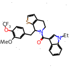 CCn1cc(C(=O)N2CCc3ccsc3C2Cc2ccc(OC(F)(F)F)c(OC)c2)c2ccccc21